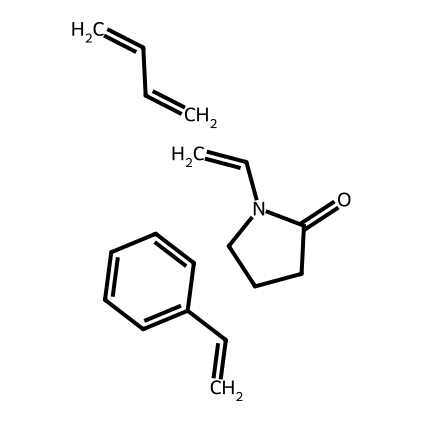 C=CC=C.C=CN1CCCC1=O.C=Cc1ccccc1